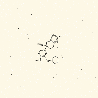 COc1ccc(C2(C#N)CCc3nc(C)ncc3C2)cc1OC1CCCC1